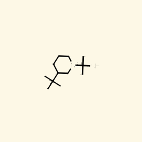 CC(C)(C)C1CCCN(C(C)(C)S)C1